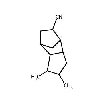 CC1CC2C3CC(CC3C#N)C2C1C